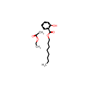 CCCCCCCCOC(=O)c1ccccc1O.CCOC(C)=O